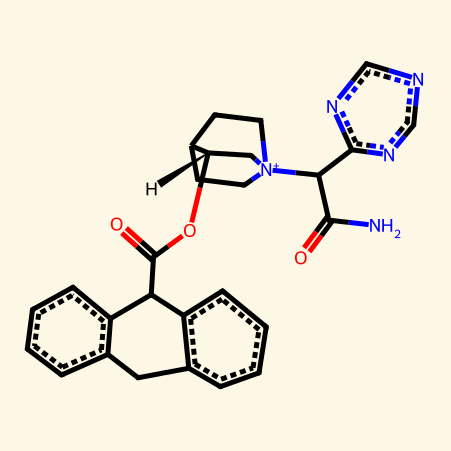 NC(=O)C(c1ncncn1)[N+]12CCC(CC1)[C@@H](OC(=O)C1c3ccccc3Cc3ccccc31)C2